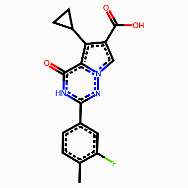 Cc1ccc(-c2nn3cc(C(=O)O)c(C4CC4)c3c(=O)[nH]2)cc1F